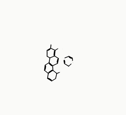 C1=CNCC=N1.CC1CC=Cc2ccc3c(c21)C=CC1=C(C(F)(F)F)C(Br)=CCC13